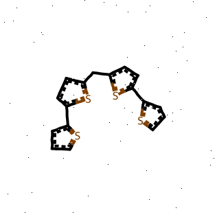 c1csc(-c2ccc(Cc3ccc(-c4cccs4)s3)s2)c1